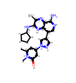 CCc1nc2c(N)ncc(-c3cnn(-c4cc(C)n(C)c(=O)c4)c3)c2nc1NC1CCCC1